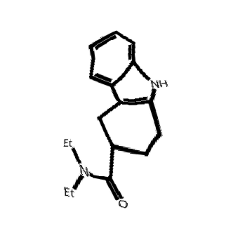 CCN(CC)C(=O)C1CCc2[nH]c3ccccc3c2C1